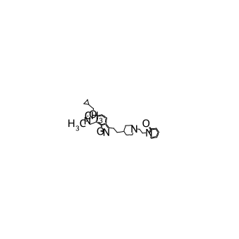 CN(C)Cc1c(OCC2CC2)ccc2c(CCC3CCN(CCn4ccccc4=O)CC3)noc12